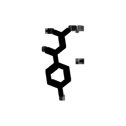 CCOC(=O)C(O)=CC(=O)c1ccc(Cl)cc1.[LiH]